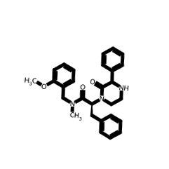 COc1ccccc1CN(C)C(=O)[C@H](Cc1ccccc1)N1CCNC(c2ccccc2)C1=O